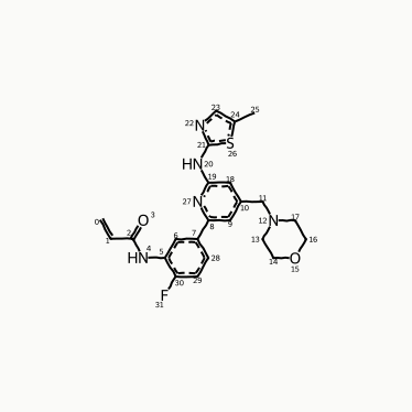 C=CC(=O)Nc1cc(-c2cc(CN3CCOCC3)cc(Nc3ncc(C)s3)n2)ccc1F